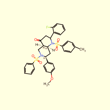 COc1ccc([C@@H]2C[C@H]3[C@@H](CN2S(=O)(=O)c2ccccc2)C(=O)CC(c2ccccc2F)N3S(=O)(=O)c2ccc(C)cc2)cc1